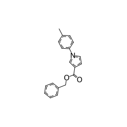 Cc1ccc(-n2ccc(C(=O)OCc3ccccc3)c2)cc1